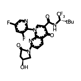 CC(C)(C)[C@H](NC(=O)c1cn(-c2ncc(F)cc2F)c2nc(N3C[C@@H](O)CC3=O)ccc2c1=O)C(F)(F)F